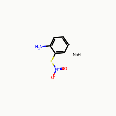 Nc1cc[c]cc1S[N+](=O)[O-].[NaH]